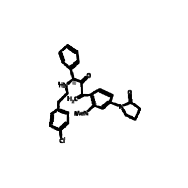 C=C(C(=O)[C@@H](NCCc1ccc(Cl)cc1)c1ccccc1)c1ccc(N2CCCC2=O)cc1NC